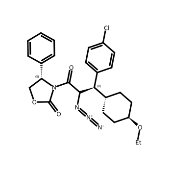 CCO[C@H]1CC[C@H]([C@H](c2ccc(Cl)cc2)C(N=[N+]=[N-])C(=O)N2C(=O)OC[C@@H]2c2ccccc2)CC1